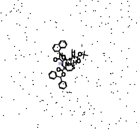 CC(C)(C)OC(=O)N[C@@H]1C(=O)N2[C@@H]1SC=C[C@]2(/C=C1\CCN(c2cccc3ccccc23)C1=O)C(=O)OC(c1ccccc1)c1ccccc1